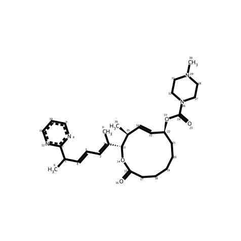 C/C(=C\C=C\C(C)c1ncccn1)[C@H]1OC(=O)CCCCC[C@H](OC(=O)N2CCN(C)CC2)/C=C/[C@@H]1C